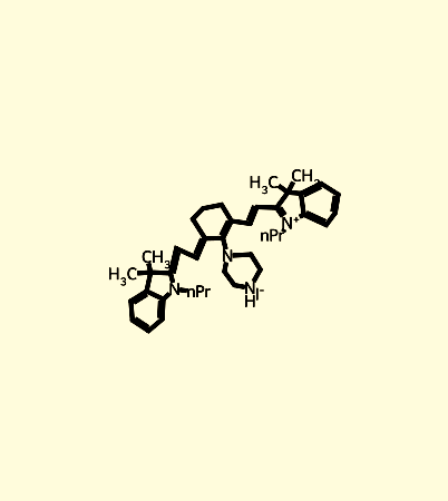 CCCN1/C(=C\C=C2/CCCC(/C=C/C3=[N+](CCC)c4ccccc4C3(C)C)=C2N2CCNCC2)C(C)(C)c2ccccc21.[I-]